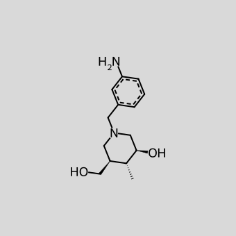 C[C@@H]1[C@@H](CO)CN(Cc2cccc(N)c2)C[C@H]1O